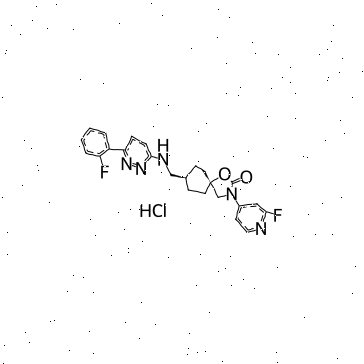 Cl.O=C1O[C@]2(CC[C@H](CNc3ccc(-c4ccccc4F)nn3)CC2)CN1c1ccnc(F)c1